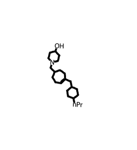 CCCC1CCC(CC2=CCCC(CN3CCC(O)CC3)CC2)CC1